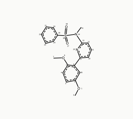 COc1ccc(OC)c(-c2cccc(N(C)S(=O)(=O)c3ccccc3)n2)c1